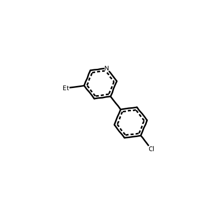 CCc1cncc(-c2ccc(Cl)cc2)c1